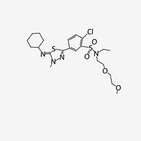 CCN(CCOCCOC)S(=O)(=O)c1cc(-c2nn(C)c(=NC3CCCCC3)s2)ccc1Cl